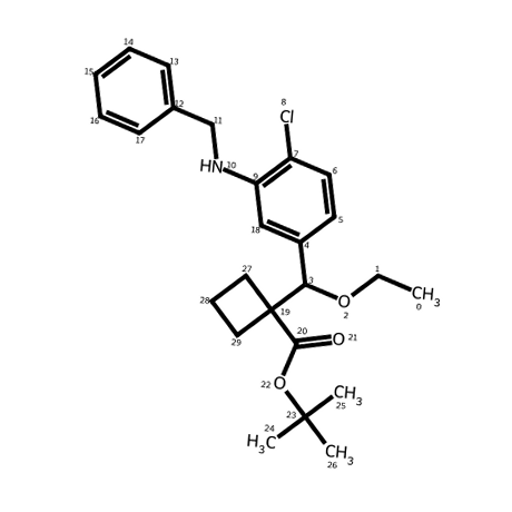 CCOC(c1ccc(Cl)c(NCc2ccccc2)c1)C1(C(=O)OC(C)(C)C)CCC1